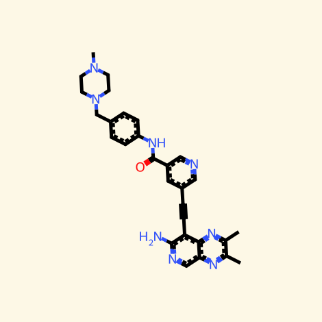 Cc1nc2cnc(N)c(C#Cc3cncc(C(=O)Nc4ccc(CN5CCN(C)CC5)cc4)c3)c2nc1C